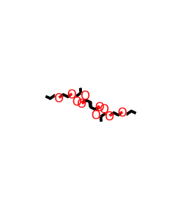 CCCOCCOC(=O)C(C)OC(=O)/C=C/C(=O)OC(C)C(=O)OCCOCCC